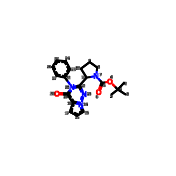 CC(C)(C)OC(=O)N1CCCC1c1nn2cccc2c(=O)n1-c1ccccc1